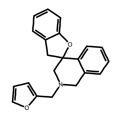 c1coc(CN2Cc3ccccc3C3(Cc4ccccc4O3)C2)c1